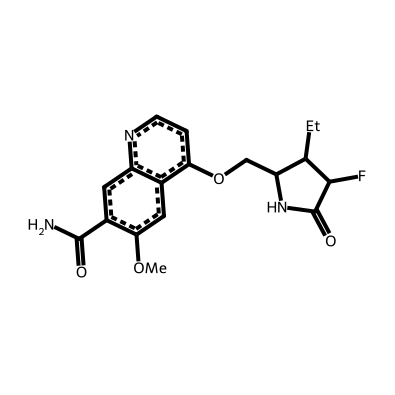 CCC1C(COc2ccnc3cc(C(N)=O)c(OC)cc23)NC(=O)C1F